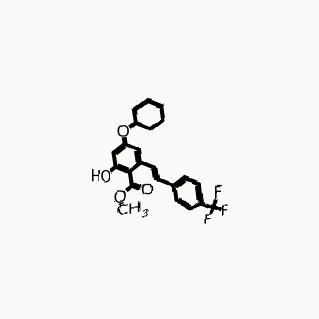 COC(=O)c1c(O)cc(OC2CCCCC2)cc1C=Cc1ccc(C(F)(F)F)cc1